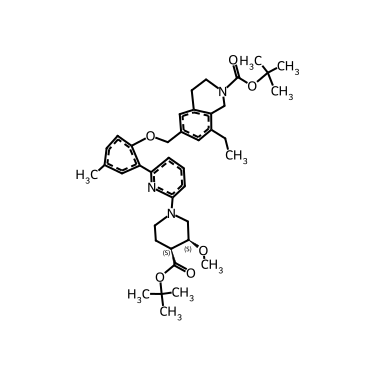 CCc1cc(COc2ccc(C)cc2-c2cccc(N3CC[C@H](C(=O)OC(C)(C)C)[C@H](OC)C3)n2)cc2c1CN(C(=O)OC(C)(C)C)CC2